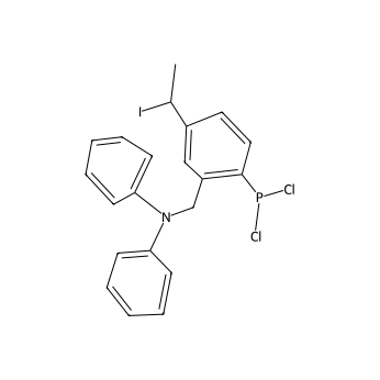 CC(I)c1ccc(P(Cl)Cl)c(CN(c2ccccc2)c2ccccc2)c1